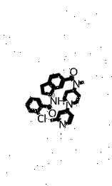 Cc1cc(N2CCC(N(C)C(=O)c3ccc4c(c3)[C@H](NC(=O)c3ccccc3Cl)CC4)CC2)ccn1